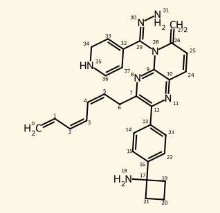 C=C/C=C\C=C/Cc1nc2c(nc1-c1ccc(C3(N)CCC3)cc1)C=CC(=C)N2/C(=N\N)C1=CCNC=C1